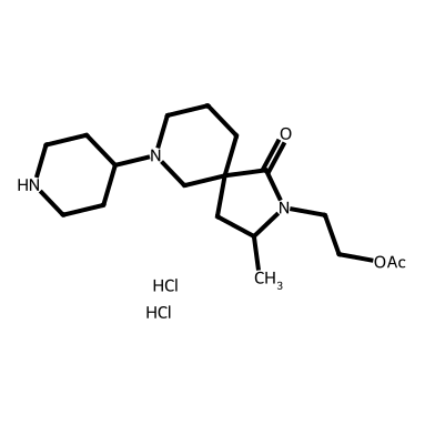 CC(=O)OCCN1C(=O)C2(CCCN(C3CCNCC3)C2)CC1C.Cl.Cl